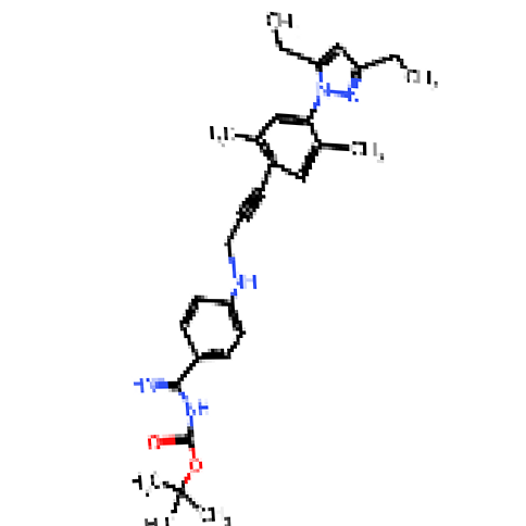 CCc1cc(CC)n(-c2cc(C)c(C#CCNc3ccc(C(=N)NC(=O)OC(C)(C)C)cc3)cc2C)n1